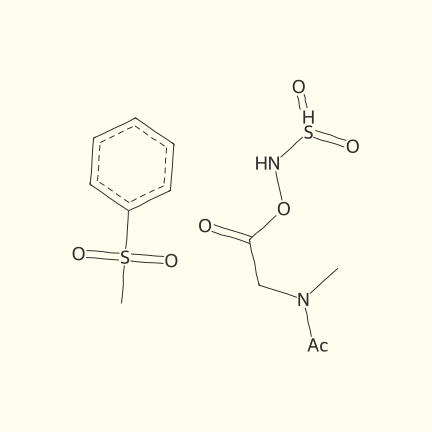 CC(=O)N(C)CC(=O)ON[SH](=O)=O.CS(=O)(=O)c1ccccc1